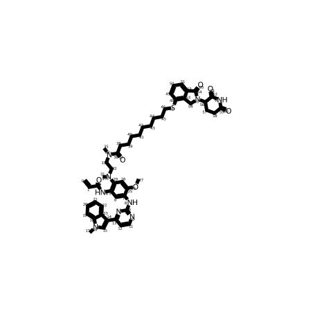 C=CC(=O)Nc1cc(Nc2nccc(-c3cn(C)c4ccccc34)n2)c(OC)cc1N(C)CCN(C)C(=O)CCCCCCCCCSc1cccc2c1CN(C1CCC(=O)NC1=O)C2=O